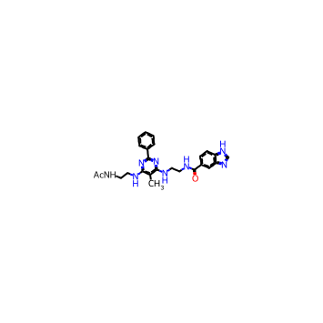 CC(=O)NCCNc1nc(-c2ccccc2)nc(NCCNC(=O)c2ccc3[nH]cnc3c2)c1C